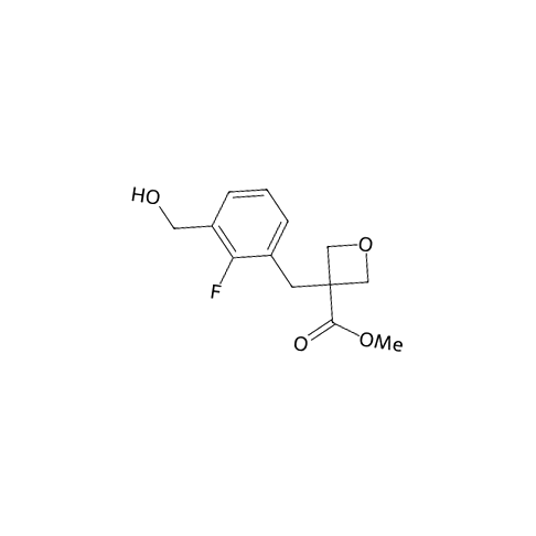 COC(=O)C1(Cc2cccc(CO)c2F)COC1